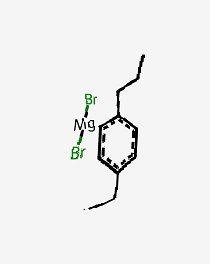 [Br][Mg][Br].[CH2]Cc1ccc(CCC)cc1